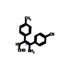 Cc1ccc(/C(NC=O)=C(/N)c2ccc(C#N)cc2)cc1